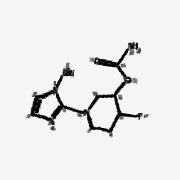 CC(C)(C)n1ccnc1N1CCC(F)C(OC(N)=O)C1